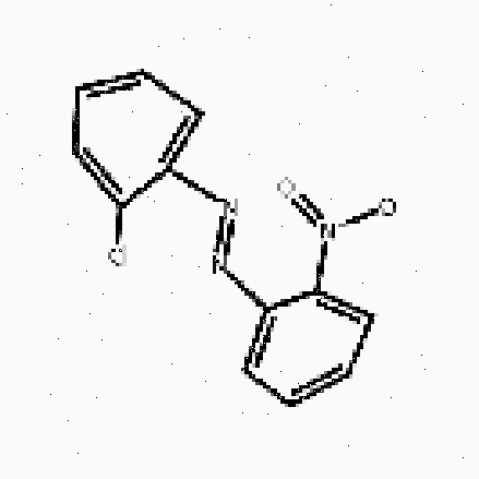 O=[N+]([O-])c1ccccc1N=Nc1ccccc1Cl